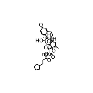 CCCCC(=O)O[C@]1(C(=O)COC(=O)CCC2CCCC2)[C@H](C)C[C@H]2[C@@H]3CCC4=CC(=O)C=C[C@]4(C)[C@@]3(Cl)C(O)C[C@@]21C